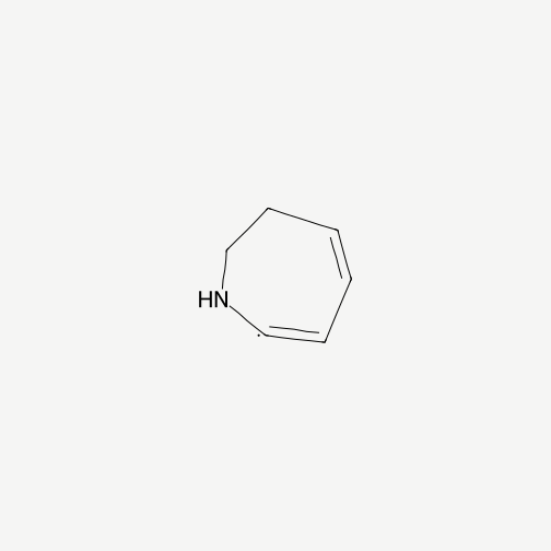 [C]1=CC=CCCN1